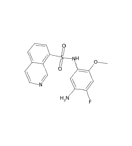 COc1cc(F)c(N)cc1NS(=O)(=O)c1cccc2ccncc12